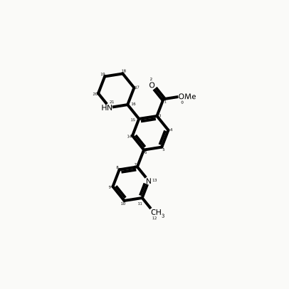 COC(=O)c1ccc(-c2cccc(C)n2)cc1C1CCCCN1